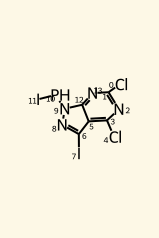 Clc1nc(Cl)c2c(I)nn(PI)c2n1